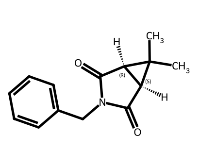 CC1(C)[C@@H]2C(=O)N(Cc3ccccc3)C(=O)[C@@H]21